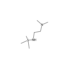 CN(C)CCNS(C)(C)C